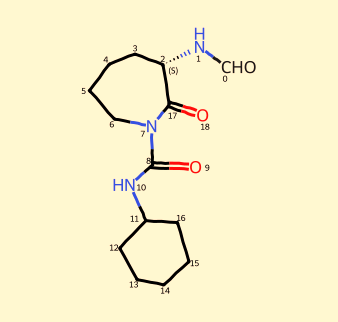 O=CN[C@H]1CCCCN(C(=O)NC2CCCCC2)C1=O